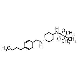 CCCCc1ccc(CN[C@H]2CC[C@H](NS(=O)(=O)C(C)(C)C)CC2)cc1